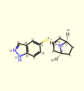 CN1[C@@H]2CC[C@H]1C[C@H](Sc1ccc3[nH]ncc3c1)C2